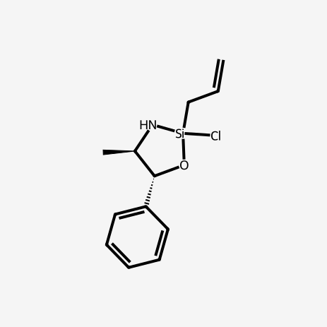 C=CC[Si]1(Cl)N[C@H](C)[C@@H](c2ccccc2)O1